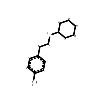 Oc1ccc(CCOC2CCCCC2)cc1